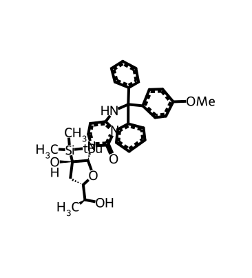 COc1ccc(C(Nc2ccn([C@@H]3O[C@H]([C@H](C)O)C[C@]3(O)[Si](C)(C)C(C)(C)C)c(=O)n2)(c2ccccc2)c2ccccc2)cc1